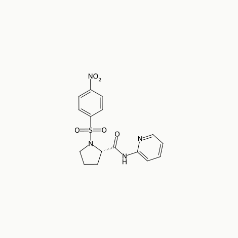 O=C(Nc1ccccn1)[C@@H]1CCCN1S(=O)(=O)c1ccc([N+](=O)[O-])cc1